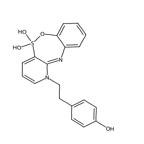 Oc1ccc(CCN2C=CC=C3C2=Nc2ccccc2OS3(O)O)cc1